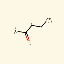 O=C(CCC(F)(F)F)C(F)(F)F